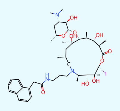 C[C@H]1CN(CCCNC(=O)Cc2cccc3ccccc23)[C@H](C)[C@@H](O)[C@](C)(O)[C@@H](I)OC(=O)[C@H](C)[C@@H](O)[C@H](C)[C@@H](O[C@@H]2O[C@H](C)C[C@H](N(C)C)[C@H]2O)[C@](C)(O)C1